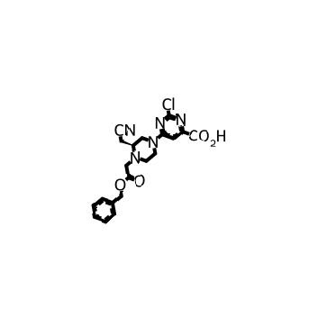 N#CC[C@H]1CN(c2cc(C(=O)O)nc(Cl)n2)CCN1CC(=O)OCc1ccccc1